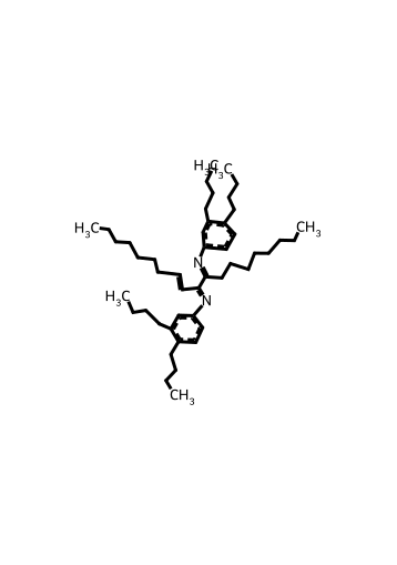 CCCCCCCC=CC(=Nc1ccc(CCCC)c(CCCC)c1)C(CCCCCCCC)=Nc1ccc(CCCC)c(CCCC)c1